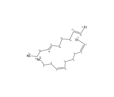 CC/C=C\CCC/C=C\CCC#N.CCC=CCCCC=CCCC#N